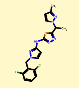 Cc1ccn(C(C)c2nnc(Nc3ccn(Cc4c(F)cccc4Cl)n3)s2)n1